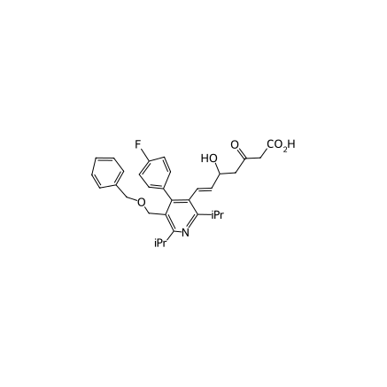 CC(C)c1nc(C(C)C)c(COCc2ccccc2)c(-c2ccc(F)cc2)c1C=CC(O)CC(=O)CC(=O)O